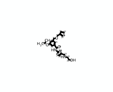 CC(C)Oc1cc(COCc2ccsc2)cc(C(=O)Nc2nc(CNCCO)cs2)c1